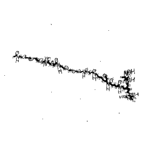 CC(=O)NCCOCCOCCOCCNC(=O)COCC(=O)NCCOCCOCCOCCNC(=O)OCCC(=O)NCCCCC(C=O)NC(=O)CCCC(=O)NCCC(CCNC(C)(C)/C(C)=N\O)CCNC(C)(C)/C(C)=N\O